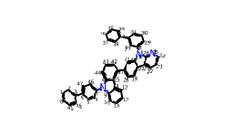 c1ccc(-c2ccc(-n3c4ccccc4c4c(-c5ccc6c7cccnc7n(-c7cccc(-c8ccccc8)c7)c6c5)cccc43)cc2)cc1